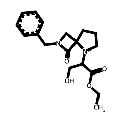 CCOC(=O)C(CO)N1CCCC12CN(Cc1ccccc1)C2=O